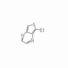 CCc1scc2nccnc12